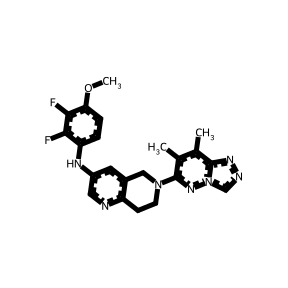 COc1ccc(Nc2cnc3c(c2)CN(c2nn4cnnc4c(C)c2C)CC3)c(F)c1F